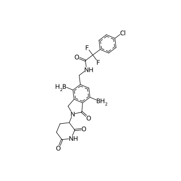 Bc1cc(CNC(=O)C(F)(F)c2ccc(Cl)cc2)c(B)c2c1C(=O)N(C1CCC(=O)NC1=O)C2